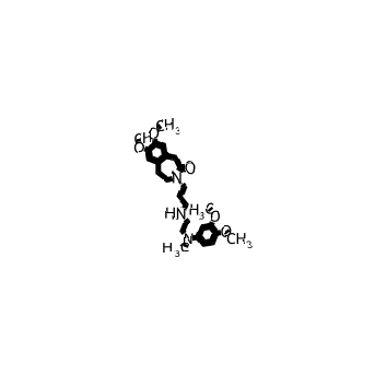 COc1ccc(N(C)CCNCCCN2CCc3cc(OC)c(OC)cc3CC2=O)cc1OC